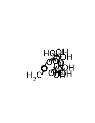 C=Cc1ccc(COC[C@H]2O[C@H](O[C@H]3O[C@H](CO)[C@@H](O)[C@H](O)[C@H]3O)[C@H](O)[C@@H](O)[C@@H]2O)cc1